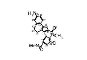 CNC(=O)c1ccc(N(C)C(=O)c2cc3c(s2)-c2ccc(N)cc2OCC3)c(Cl)c1